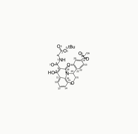 CC(C)(C)OC(=O)CNC(=O)c1c(O)c2cccc3c2n(c1=O)C(c1ccc(S(C)(=O)=O)cc1)CO3